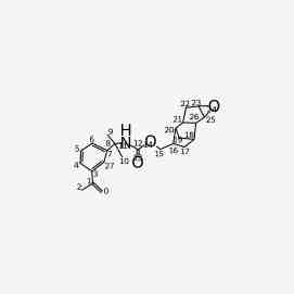 C=C(C)c1cccc(C(C)(C)NC(=O)OCC2CC3CC2C2CC4OC4C32)c1